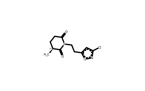 C[C@H]1CCC(=O)N(CCc2cc(Cl)no2)C1=O